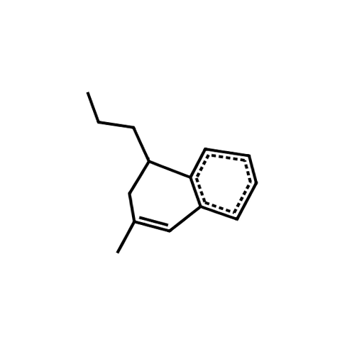 CCC[C]1CC(C)=Cc2ccccc21